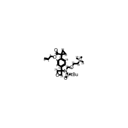 C=CCOC(=O)C1(c2ccc(C3(N(COCC[Si](C)(C)C)[S+]([O-])C(C)(C)C)COC3)cc2)CC1